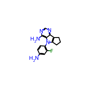 Nc1ccc(-n2c3c(c4ncnc(N)c42)CCC3)c(F)c1